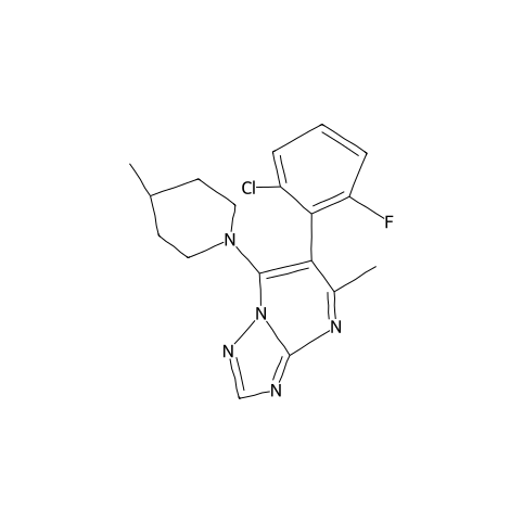 Cc1nc2ncnn2c(N2CCC(C)CC2)c1-c1c(F)cccc1Cl